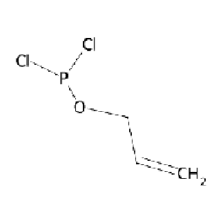 C=CCOP(Cl)Cl